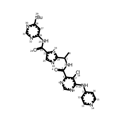 CC(NC(=O)c1ncnc(Nc2ccncc2)c1Cl)c1ncc(C(=O)Nc2cc(C(C)(C)C)ncn2)s1